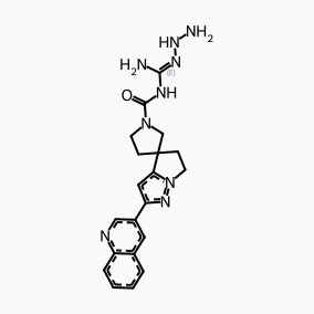 NN/N=C(\N)NC(=O)N1CCC2(CCn3nc(-c4cnc5ccccc5c4)cc32)C1